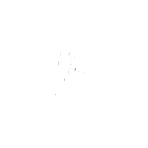 CCCCCCCC[Si](C)(O[SiH3])[SiH2]O[SiH2]C